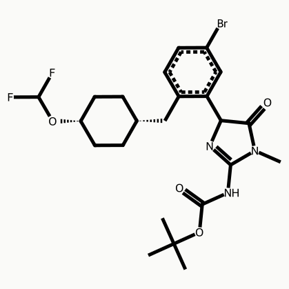 CN1C(=O)C(c2cc(Br)ccc2C[C@H]2CC[C@@H](OC(F)F)CC2)N=C1NC(=O)OC(C)(C)C